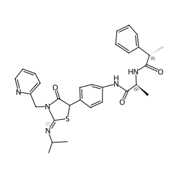 CC(C)/N=C1\SC(c2ccc(NC(=O)[C@H](C)NC(=O)[C@@H](C)c3ccccc3)cc2)C(=O)N1Cc1ccccn1